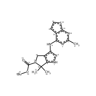 Cc1nc(Nc2n[nH]c3c2CN(C(=O)OC(C)(C)C)C3(C)C)c2ccsc2n1